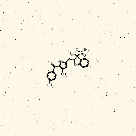 Cc1ccc(C(=S)c2[nH]c(CC(O)C(C)(c3ccccc3)S(N)(=O)=O)cc2C)cc1